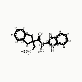 CCN(C(=O)C1(CC(=O)O)Cc2ccccc2C1)c1nc2ccccc2[nH]1